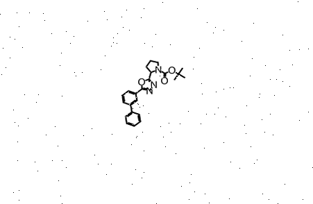 CC(C)(C)OC(=O)N1CCCC1c1nnc(-c2cccc(-c3ccccc3)c2)o1